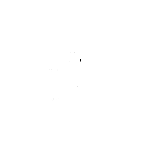 COC(=O)C[C@@]1(C(=O)OC)OC(C)(C)O[C@@H]1C(=O)OC